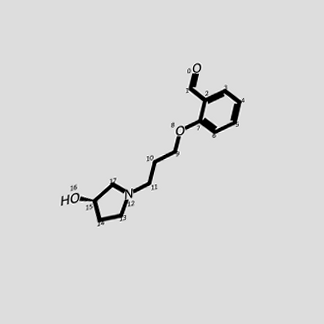 O=Cc1ccccc1OCCCN1CC[C@@H](O)C1